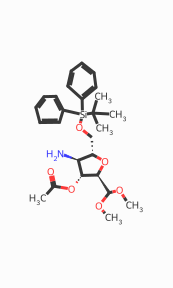 COC(OC)[C@@H]1O[C@@H](CO[Si](c2ccccc2)(c2ccccc2)C(C)(C)C)[C@H](N)[C@H]1OC(C)=O